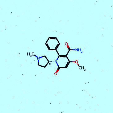 COc1cc(=O)n([C@@H]2CCN(C)C2)c(-c2ccccc2)c1C(N)=O